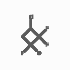 [O]C1(F)CC(Cl)C1(F)F